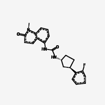 Cn1c(=O)ccc2c(NC(=O)N[C@@H]3CC[C@@H](c4ccccc4F)C3)cccc21